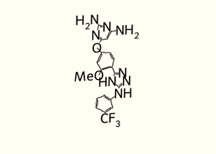 COc1cc(Oc2cc(N)nc(N)n2)ccc1-c1nnc(Nc2cccc(C(F)(F)F)c2)[nH]1